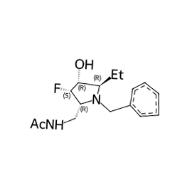 CC[C@@H]1[C@@H](O)[C@@H](F)[C@@H](CNC(C)=O)N1Cc1ccccc1